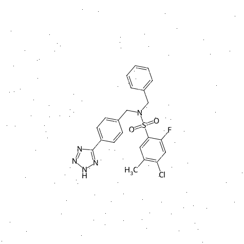 Cc1cc(S(=O)(=O)N(Cc2ccccc2)Cc2ccc(-c3nn[nH]n3)cc2)c(F)cc1Cl